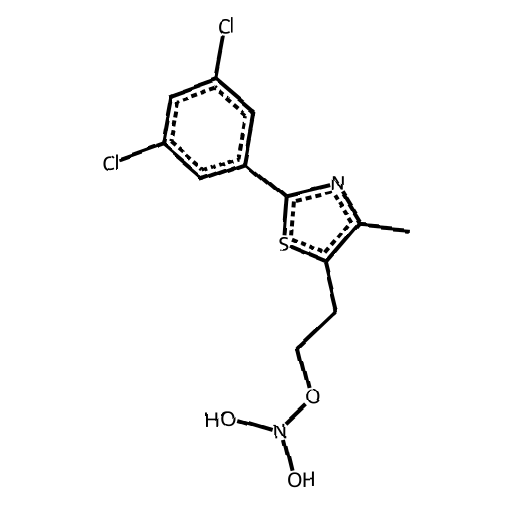 Cc1nc(-c2cc(Cl)cc(Cl)c2)sc1CCON(O)O